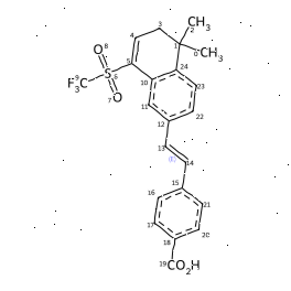 CC1(C)CC=C(S(=O)(=O)C(F)(F)F)c2cc(/C=C/c3ccc(C(=O)O)cc3)ccc21